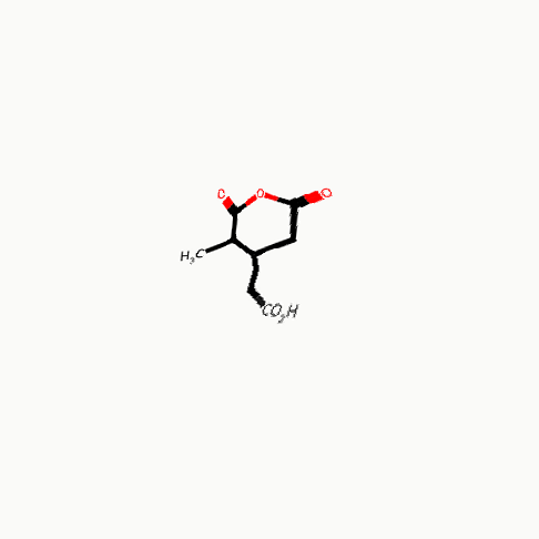 CC1C(=O)OC(=O)CC1CC(=O)O